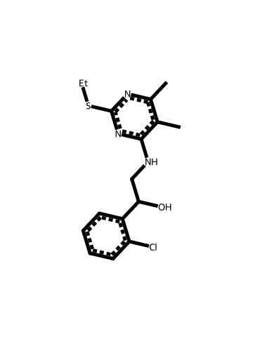 CCSc1nc(C)c(C)c(NCC(O)c2ccccc2Cl)n1